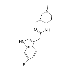 CC1CN(C)CCC1NC(=O)Cc1c[nH]c2cc(F)ccc12